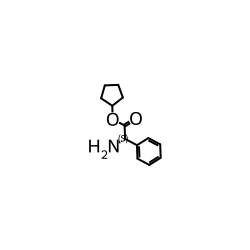 N[C@H](C(=O)OC1CCCC1)c1ccccc1